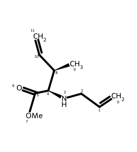 C=CCN[C@@H](C(=O)OC)[C@H](C)C=C